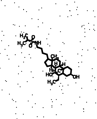 CC[C@@H]1C2C[C@H](O)CCC2(C)[C@H]2CCC3(C)C(CCCCNS(=O)(=O)C(C)C)CC[C@H]3[C@@H]2[C@@H]1O